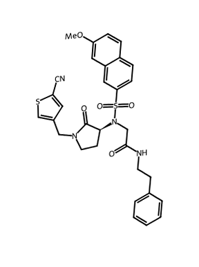 COc1ccc2ccc(S(=O)(=O)N(CC(=O)NCCc3ccccc3)[C@H]3CCN(Cc4csc(C#N)c4)C3=O)cc2c1